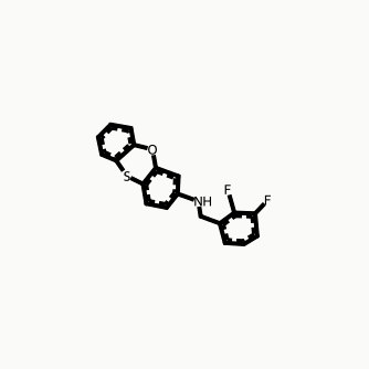 Fc1cccc(CNc2ccc3c(c2)Oc2ccccc2S3)c1F